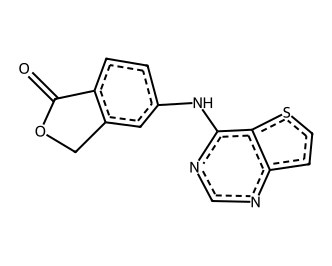 O=C1OCc2cc(Nc3ncnc4ccsc34)ccc21